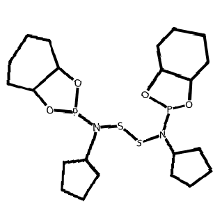 C1CCC2OP(N(SSN(C3CCCC3)P3OC4CCCCC4O3)C3CCCC3)OC2C1